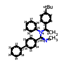 C=C(c1ccc(C(C)(C)C)cc1)N(/C(=N\C)c1ccc(-c2ccccc2)cc1)c1ccccc1